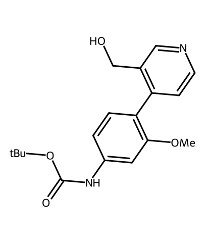 COc1cc(NC(=O)OC(C)(C)C)ccc1-c1ccncc1CO